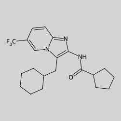 O=C(Nc1nc2ccc(C(F)(F)F)cn2c1CC1CCCCC1)C1CCCC1